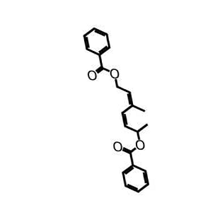 CC(/C=C\C(C)OC(=O)c1ccccc1)=C/COC(=O)c1ccccc1